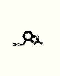 O=CCc1cccc2oc(F)nc12